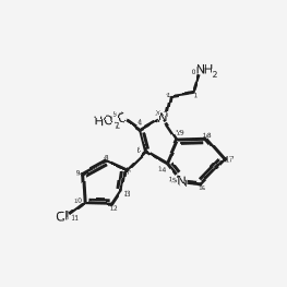 NCCn1c(C(=O)O)c(-c2ccc(Cl)cc2)c2ncccc21